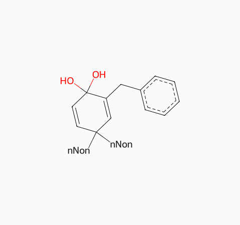 CCCCCCCCCC1(CCCCCCCCC)C=CC(O)(O)C(Cc2ccccc2)=C1